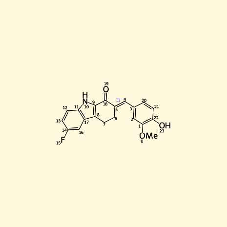 COc1cc(/C=C2\CCc3c([nH]c4ccc(F)cc34)C2=O)ccc1O